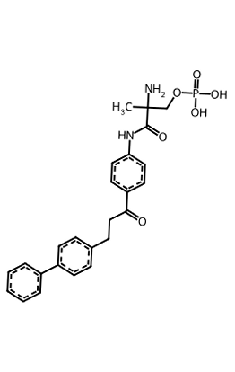 CC(N)(COP(=O)(O)O)C(=O)Nc1ccc(C(=O)CCc2ccc(-c3ccccc3)cc2)cc1